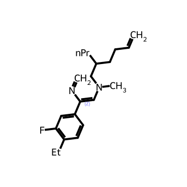 C=CCCC(CCC)CN(C)/C=C(\N=C)c1ccc(CC)c(F)c1